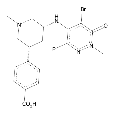 CN1C[C@H](Nc2c(F)nn(C)c(=O)c2Br)C[C@H](c2ccc(C(=O)O)cc2)C1